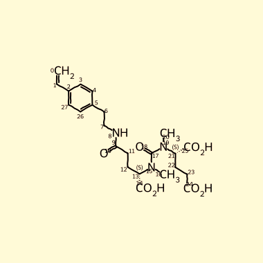 C=Cc1ccc(CCNC(=O)CC[C@@H](C(=O)O)N(C)C(=O)N(C)[C@@H](CCC(=O)O)C(=O)O)cc1